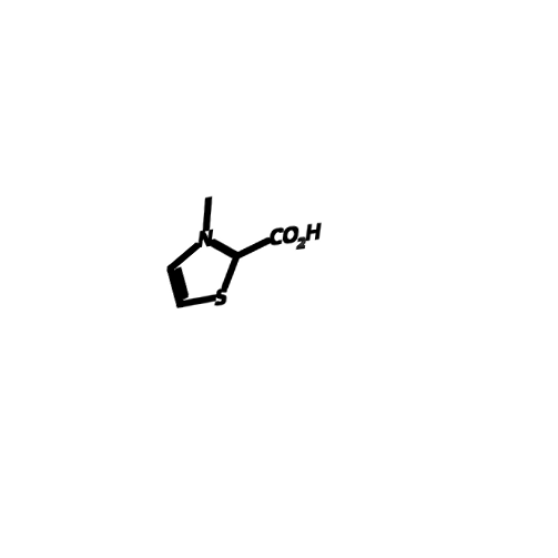 CN1C=CSC1C(=O)O